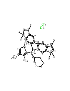 CCC1=[C]([Zr+2](=[C]2CCCCC2)[CH]2c3cc4c(cc3-c3cc5c(cc32)C(C)(C)C=C5C)C(C)=CC4(C)C)C(CC)C=C1C(C)(C)C.[Cl-].[Cl-]